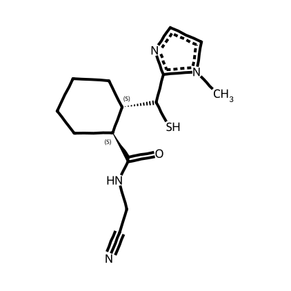 Cn1ccnc1C(S)[C@H]1CCCC[C@@H]1C(=O)NCC#N